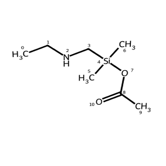 CCNC[Si](C)(C)OC(C)=O